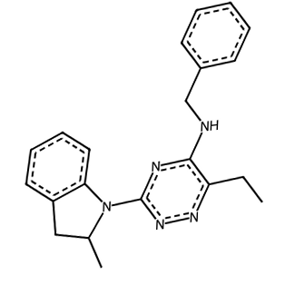 CCc1nnc(N2c3ccccc3CC2C)nc1NCc1ccccc1